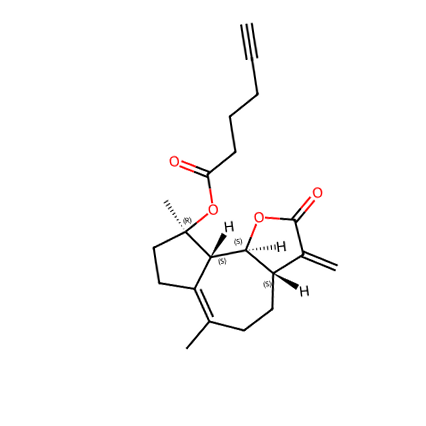 C#CCCCC(=O)O[C@]1(C)CCC2=C(C)CC[C@H]3C(=C)C(=O)O[C@@H]3[C@H]21